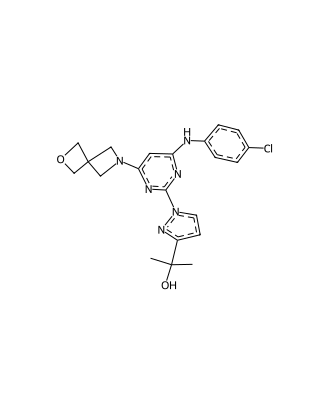 CC(C)(O)c1ccn(-c2nc(Nc3ccc(Cl)cc3)cc(N3CC4(COC4)C3)n2)n1